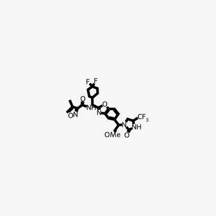 COCC(c1ccc2oc(C(NC(=O)c3nocc3C)C3CCC(F)(F)CC3)nc2c1)N1CC(C(F)(F)F)NC1=O